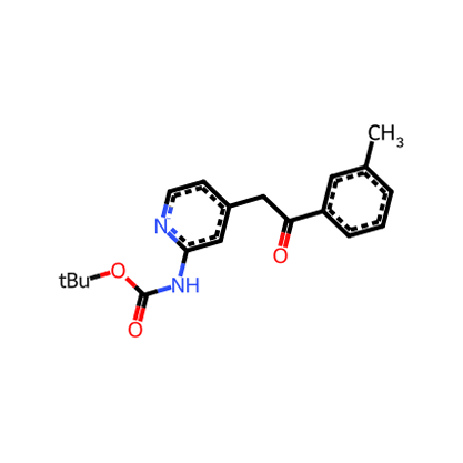 Cc1cccc(C(=O)Cc2ccnc(NC(=O)OC(C)(C)C)c2)c1